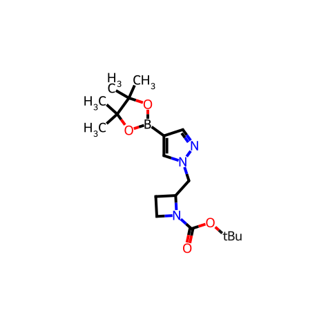 CC(C)(C)OC(=O)N1CCC1Cn1cc(B2OC(C)(C)C(C)(C)O2)cn1